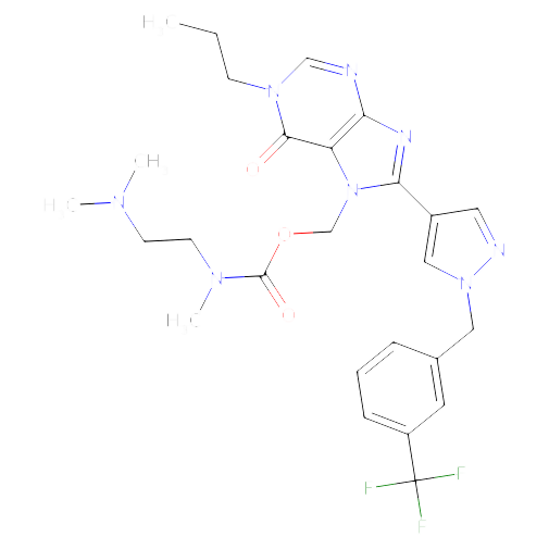 CCCn1cnc2nc(-c3cnn(Cc4cccc(C(F)(F)F)c4)c3)n(COC(=O)N(C)CCN(C)C)c2c1=O